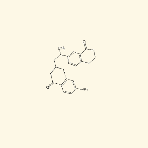 CC(C)c1ccc2c(c1)CC(CC(C)c1ccc3c(c1)C(=O)CCC3)CC2=O